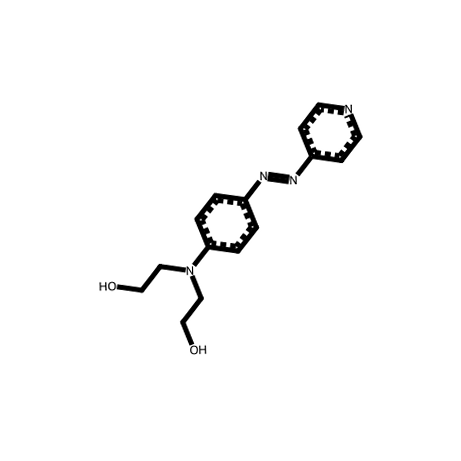 OCCN(CCO)c1ccc(/N=N/c2ccncc2)cc1